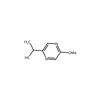 COc1cnc(C(C)S)cn1